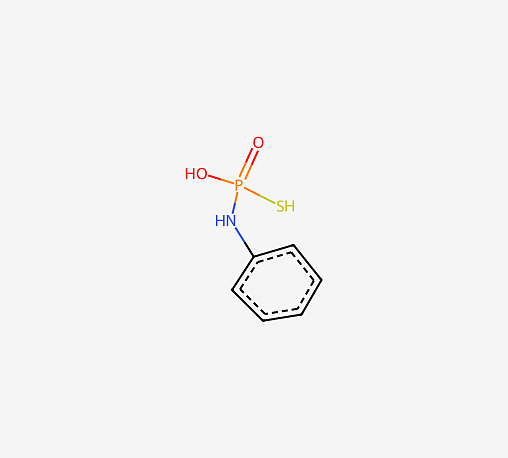 O=P(O)(S)Nc1ccccc1